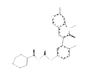 Cc1cc2c(cn1)cc(-c1cc(NC(=O)NC(=O)C3CCCCC3)ccc1C)c(=O)n2C